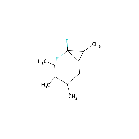 CCC(C)C(C)CC1C(C)C1(F)F